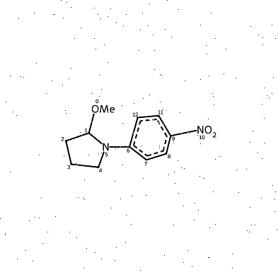 COC1CCCN1c1ccc([N+](=O)[O-])cc1